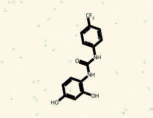 O=C(Nc1ccc(C(F)(F)F)cc1)Nc1ccc(O)cc1O